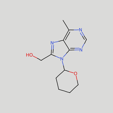 Cc1ncnc2c1nc(CO)n2C1CCCCO1